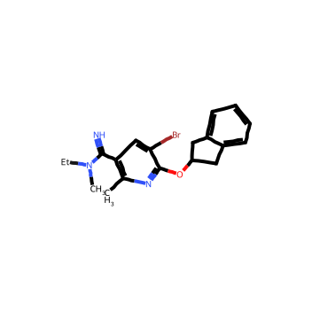 CCN(C)C(=N)c1cc(Br)c(OC2Cc3ccccc3C2)nc1C